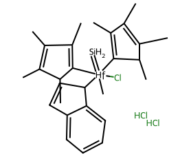 CC1=C(C)C(C)[C]([Hf]([CH3])(=[SiH2])([Cl])([C]2=C(C)C(C)=C(C)C2C)[CH]2C=Cc3ccccc32)=C1C.Cl.Cl